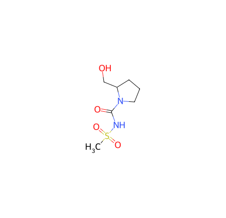 CS(=O)(=O)NC(=O)N1CCCC1CO